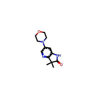 CC1(C)C(=O)Nc2cc(N3CCOCC3)cnc21